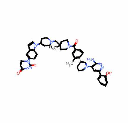 Cc1cc(C(=O)N2CCC(C)(CN3CCC(n4ccc5cc(N6CCC(=O)NC6=O)ccc54)CC3)CC2)ccc1[C@H]1CCCN(c2cc(-c3ccccc3O)nnc2N)C1